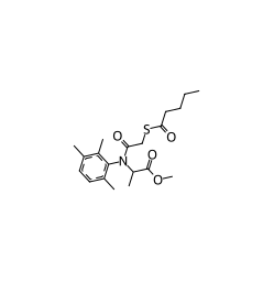 CCCCC(=O)SCC(=O)N(c1c(C)ccc(C)c1C)C(C)C(=O)OC